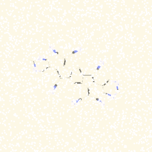 N#CC(C#N)=C1C(c2cnc(F)nc2)=C(C#N)c2cc3c(cc21)C(C#N)=C(c1cnc(F)nc1)C3=C(C#N)C#N